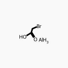 O=C(O)CBr.[AlH3]